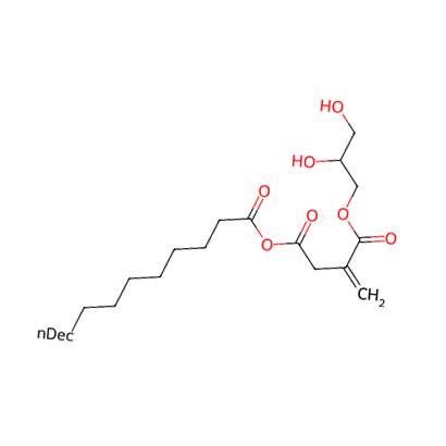 C=C(CC(=O)OC(=O)CCCCCCCCCCCCCCCCC)C(=O)OCC(O)CO